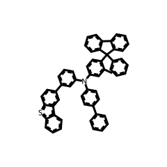 Cc1cc(N(c2ccc(-c3ccccc3)cc2)c2cccc(-c3ccc4sc5ccccc5c4c3)c2)ccc1C1(c2ccccc2)c2ccccc2-c2ccccc21